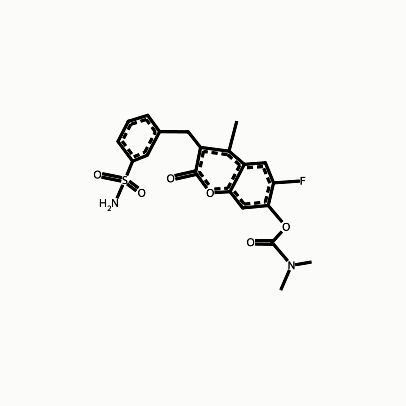 Cc1c(Cc2cccc(S(N)(=O)=O)c2)c(=O)oc2cc(OC(=O)N(C)C)c(F)cc12